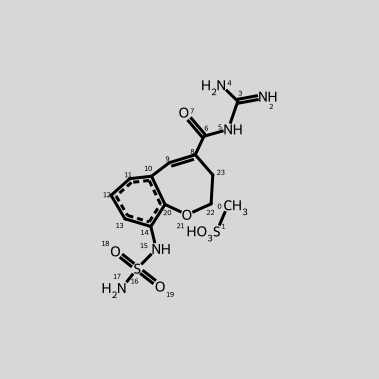 CS(=O)(=O)O.N=C(N)NC(=O)C1=Cc2cccc(NS(N)(=O)=O)c2OCC1